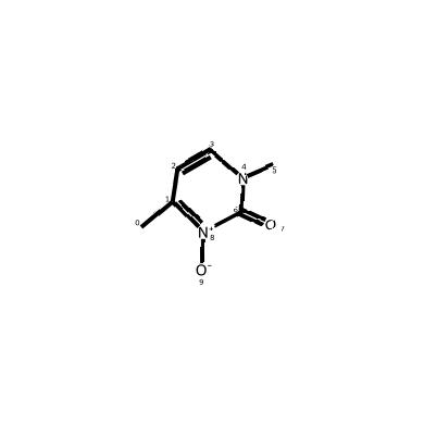 Cc1ccn(C)c(=O)[n+]1[O-]